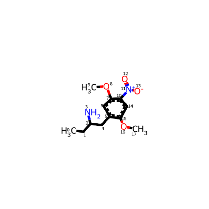 CCC(N)Cc1cc(OC)c([N+](=O)[O-])cc1OC